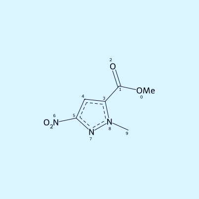 COC(=O)c1cc([N+](=O)[O-])nn1C